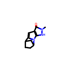 Cn1[nH]c2c(cc3n2C2CCC3C2)c1=O